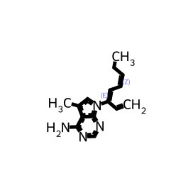 C=C/C(=C\C=C/CC)n1cc(C)c2c(N)ncnc21